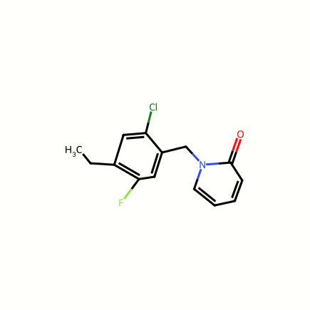 CCc1cc(Cl)c(Cn2ccccc2=O)cc1F